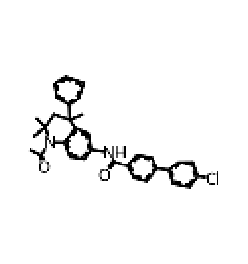 CC(=O)N1c2ccc(NC(=O)c3ccc(-c4ccc(Cl)cc4)cc3)cc2C(C)(c2ccccc2)CC1(C)C